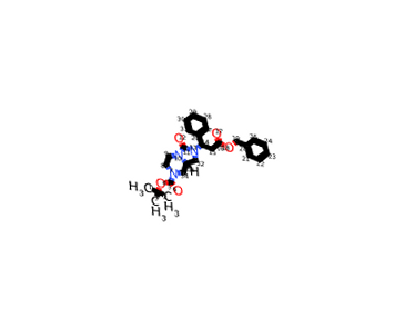 CC(C)(C)OC(=O)N1CCN2C(=O)N(C(CC(=O)OCc3ccccc3)c3ccccc3)C[C@@H]2C1